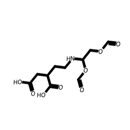 O=COCC(NCCC(CC(=O)O)C(=O)O)OC=O